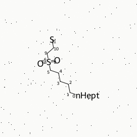 CCCCCCCCCCCCS(=O)(=O)CC[S]